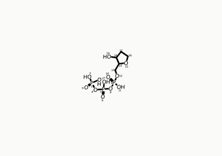 O=P(O)(O)OP(=O)(O)OP(=O)(O)OCC1OCCC1O